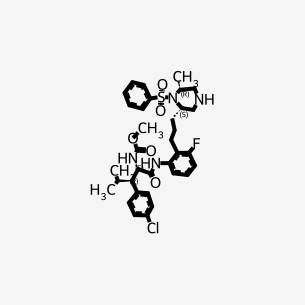 COC(=O)N[C@H](C(=O)Nc1cccc(F)c1CCC[C@H]1CNC[C@@H](C)N1S(=O)(=O)c1ccccc1)[C@@H](c1ccc(Cl)cc1)C(C)C